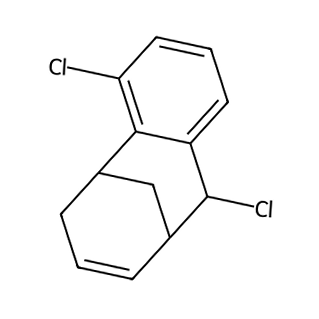 Clc1cccc2c1C1CC=CC(C1)C2Cl